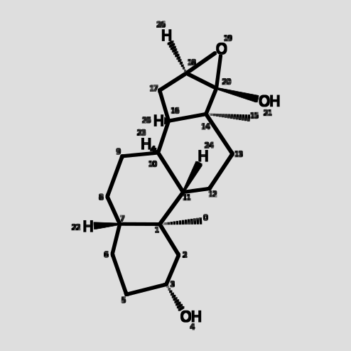 C[C@]12C[C@H](O)CC[C@@H]1CC[C@@H]1[C@@H]2CC[C@@]2(C)[C@H]1C[C@H]1O[C@@]12O